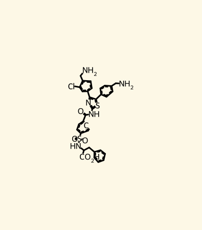 NCc1ccc(-c2sc(NC(=O)c3ccc(S(=O)(=O)NC(Cc4ccccc4)C(=O)O)cc3)nc2-c2ccc(CN)c(Cl)c2)cc1